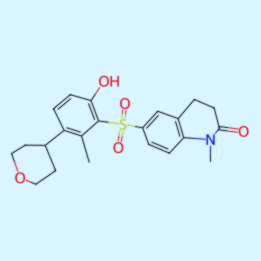 Cc1c(C2CCOCC2)ccc(O)c1S(=O)(=O)c1ccc2c(c1)CCC(=O)N2C